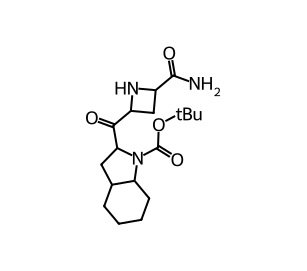 CC(C)(C)OC(=O)N1C(C(=O)C2CC(C(N)=O)N2)CC2CCCCC21